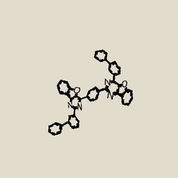 c1ccc(-c2cccc(-c3nc(-c4ccc(-c5nc(-c6cccc(-c7ccccc7)c6)c6oc7ccccc7c6n5)cc4)c4oc5ccccc5c4n3)c2)cc1